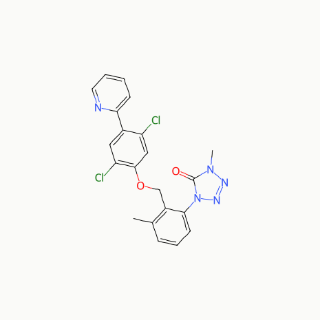 Cc1cccc(-n2nnn(C)c2=O)c1COc1cc(Cl)c(-c2ccccn2)cc1Cl